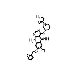 C=CC(=O)N1CCCC(Nc2ncnc(N)c2C(=N)c2ccc(OCc3ccco3)c(Cl)c2)C1